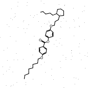 CCCCCCCCOc1ccc(C(=O)Oc2ccc(OCCCC3CCCCC3CCCCC)cc2)cc1